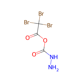 NNC(=O)OC(=O)C(Br)(Br)Br